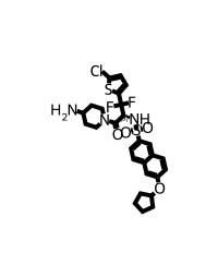 NC1CCN(C(=O)[C@H](NS(=O)(=O)c2ccc3cc(OC4CCCC4)ccc3c2)C(F)(F)c2ccc(Cl)s2)CC1